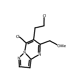 COCc1nc2ccnn2c(Cl)c1CCCl